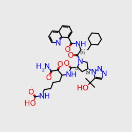 CC(C)(O)c1cnnn1[C@H]1C[C@@H](C(=O)NC(CCCCNC(=O)O)C(=O)C(N)=O)N(C(=O)[C@@H](CC2CCCCC2)NC(=O)c2cccc3cccnc23)C1